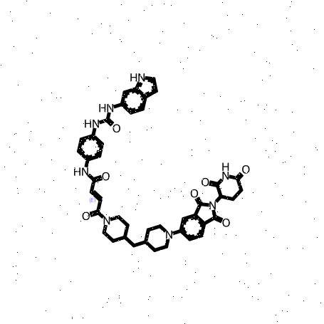 O=C(/C=C/C(=O)N1CCC(CC2CCN(c3ccc4c(c3)C(=O)N(C3CCC(=O)NC3=O)C4=O)CC2)CC1)Nc1ccc(NC(=O)Nc2ccc3cc[nH]c3c2)cc1